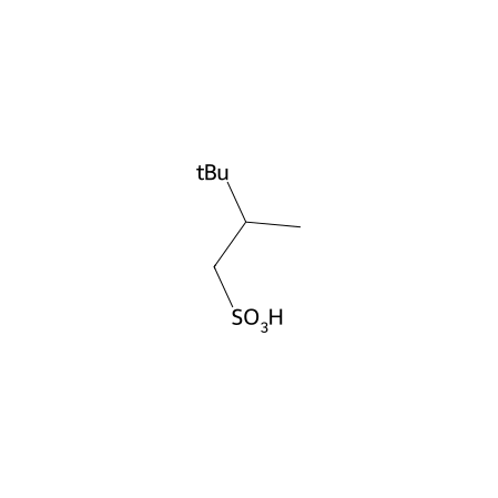 CC(CS(=O)(=O)O)C(C)(C)C